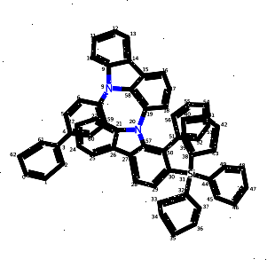 c1ccc(-c2ccc(-n3c4ccccc4c4cccc(-n5c6ccccc6c6ccc([Si](c7ccccc7)(c7ccccc7)c7ccccc7)c(-c7ccccc7)c65)c43)cc2)cc1